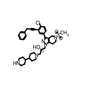 CS(=O)(=O)N1CCc2c(c(-c3ccc(Cl)c(C#CCc4ccccc4)c3)nn2C[C@@H](O)CN2CCC(C3CCNCC3)CC2)C1